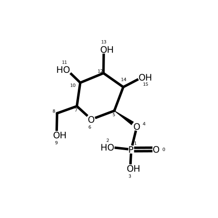 O=P(O)(O)O[C@H]1OC(CO)C(O)C(O)C1O